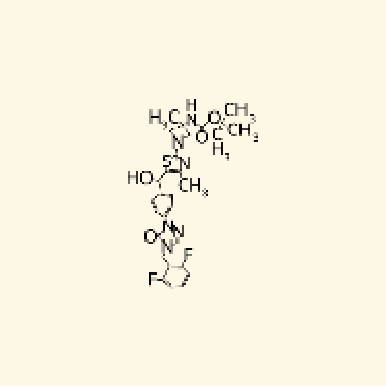 Cc1nc(N2CC(C)(NC(=O)OC(C)(C)C)C2)sc1C(O)c1ccc(-n2ncn(Cc3c(F)cccc3F)c2=O)cc1